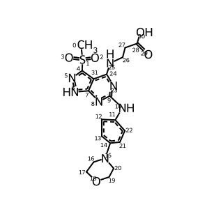 CS(=O)(=O)c1n[nH]c2nc(Nc3ccc(N4CCOCC4)cc3)nc(NCCC(=O)O)c12